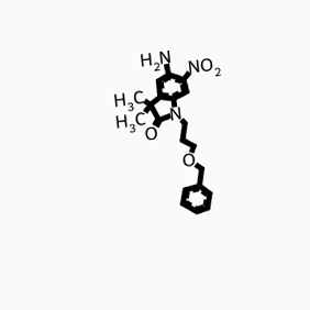 CC1(C)C(=O)N(CCCOCc2ccccc2)c2cc([N+](=O)[O-])c(N)cc21